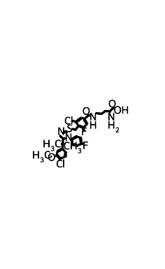 COc1cc(C(C)(C)C2CN=C(SCc3c(F)cc(C(=O)NCCC[C@H](N)C(=O)O)cc3Cl)N2c2ccc(F)cc2)ccc1Cl